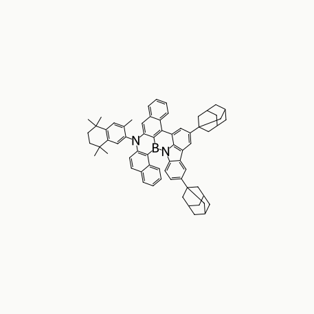 Cc1cc2c(cc1N1c3cc4ccccc4c4c3B(c3c1ccc1ccccc31)n1c3ccc(C56CC7CC(CC(C7)C5)C6)cc3c3cc(C56CC7CC(CC(C7)C5)C6)cc-4c31)C(C)(C)CCC2(C)C